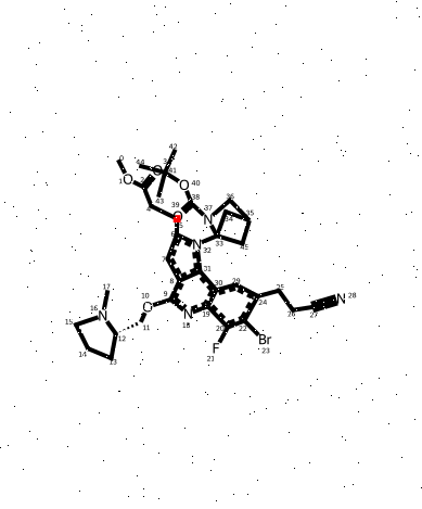 COC(=O)CCc1cc2c(OC[C@@H]3CCCN3C)nc3c(F)c(Br)c(CCC#N)cc3c2n1C12CC(CN1C(=O)OC(C)(C)C)C2